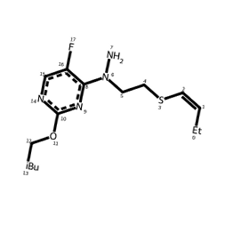 CC/C=C\SCCN(N)c1nc(OCC(C)CC)ncc1F